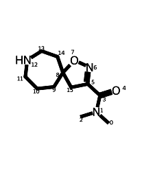 CN(C)C(=O)C1=NOC2(CCCNCC2)C1